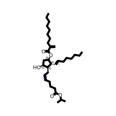 C=C(CCCCCCCC)C(=O)O[C@@H]1C[C@H](O)[C@H](C/C=C\CCCC(=O)OC(C)C)[C@H]1/C=C/CCCCCC